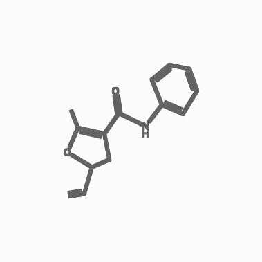 C=CC1CC(C(=O)Nc2ccccc2)=C(C)O1